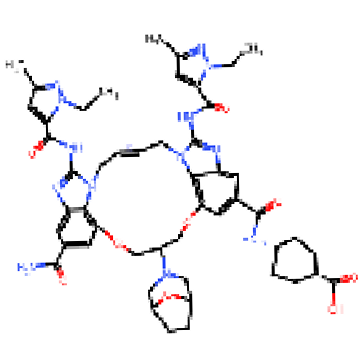 CCn1nc(C)cc1C(=O)Nc1nc2cc(C(N)=O)cc3c2n1C/C=C/Cn1c(NC(=O)c2cc(C)nn2CC)nc2cc(C(=O)N[C@H]4CC[C@H](C(=O)O)CC4)cc(c21)OCC(N1CC2CCC(C1)O2)CO3